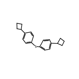 c1cc(C2CCC2)ccc1Sc1ccc(C2CCC2)cc1